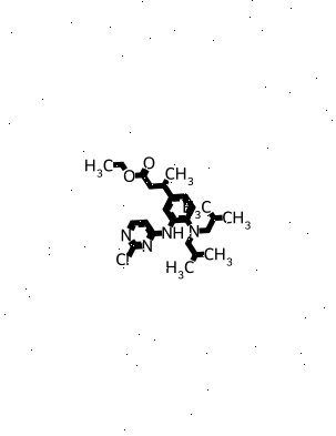 CCOC(=O)CC(C)c1ccc(N(CC(C)C)CC(C)C)c(Nc2ccnc(Cl)n2)c1